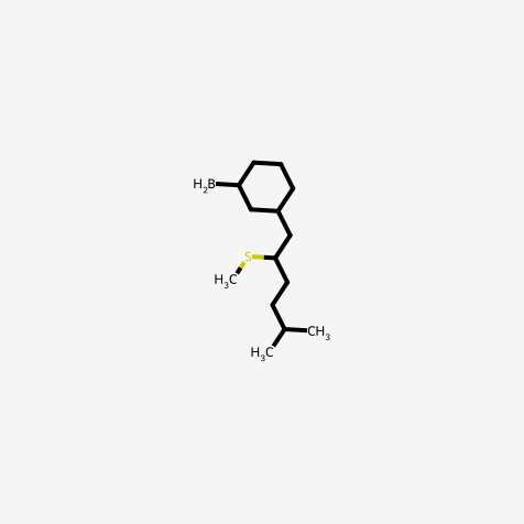 BC1CCCC(CC(CCC(C)C)SC)C1